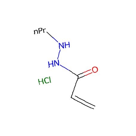 C=CC(=O)NNCCC.Cl